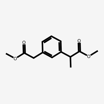 COC(=O)Cc1cccc(C(C)C(=O)OC)c1